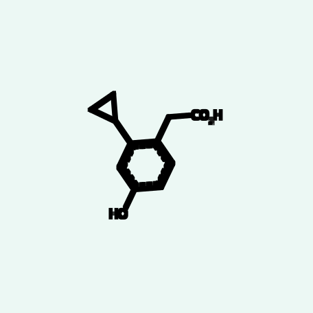 O=C(O)Cc1ccc(O)cc1C1CC1